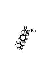 Cc1c(F)cncc1-c1ccc(OC(=O)OC(C)(C)C)c(=O)cc1